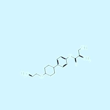 C=CCOC1CCC(c2ccc(OC(=O)C(=C)CO)cc2)CC1